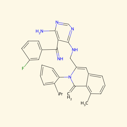 C=C1c2c(C)cccc2C=C(CNc2ncnc(N)c2C(=N)c2cccc(F)c2)N1c1ccccc1C(C)C